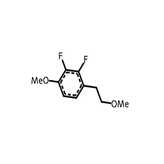 COCCc1ccc(OC)c(F)c1F